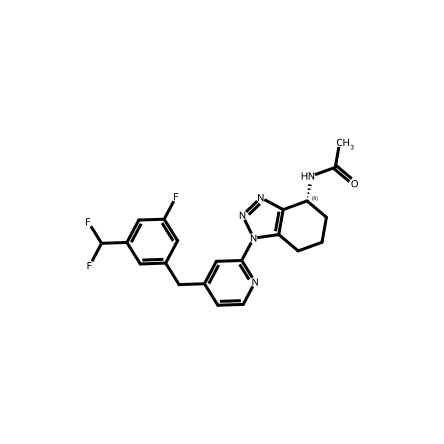 CC(=O)N[C@@H]1CCCc2c1nnn2-c1cc(Cc2cc(F)cc(C(F)F)c2)ccn1